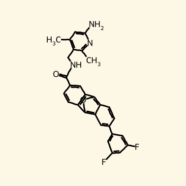 Cc1cc(N)nc(C)c1CNC(=O)c1ccc2c(c1)c1oc2c2cc(-c3cc(F)cc(F)c3)ccc21